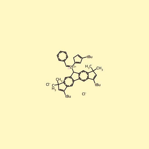 CC(C)(C)C1=CC[C](/[Zr+2](=[CH]\c2ccccc2)[CH]2c3cc4c(cc3-c3cc5c(cc32)C(C)(C)C=C5C(C)(C)C)C(C(C)(C)C)=CC4(C)C)=C1.[Cl-].[Cl-]